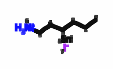 CCCCCC[NH3+].[I-].[Sn]